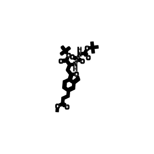 COC(=O)CCc1ccc2c(CC(NS(=O)(=O)NC(=O)OC(C)(C)C)C(=O)OC(C)(C)C)occ2c1